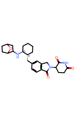 O=C1CCC(N2Cc3cc(C[C@H]4CCCC[C@@H]4NC4CC5CCC4O5)ccc3C2=O)C(=O)N1